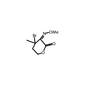 CO/N=C1\C(=O)OCCC1(C)Br